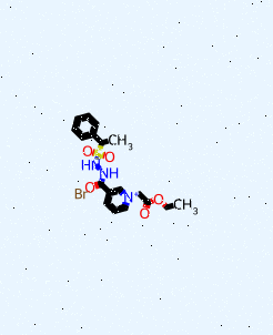 CCOC(=O)C[n+]1cccc(C(=O)NNS(=O)(=O)C(C)c2ccccc2)c1.[Br-]